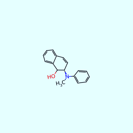 CN(c1ccccc1)[C@@H]1C=Cc2ccccc2C1O